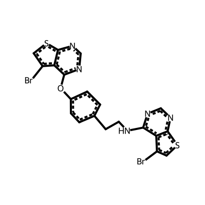 Brc1csc2ncnc(NCCc3ccc(Oc4ncnc5scc(Br)c45)cc3)c12